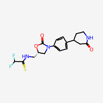 O=C1CC(c2ccc(N3C[C@H](CNC(=S)C(F)F)OC3=O)cc2)CCN1